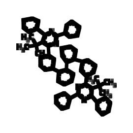 CC(C)(C)c1c(-c2ccccc2)nc(-c2ccccc2)nc1-c1cccc(-c2ccccc2-c2ccccc2-c2cccc(-c3nc(-c4ccccc4)nc(-c4ccccc4)c3C(C)(C)C)c2)c1